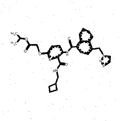 CC(C)OC(=O)COc1ccc(NC(=O)c2ccc(Cn3ccnn3)c3ccccc23)c(C(=O)NCC2CCC2)n1